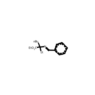 CCCCC(CC)(N=Cc1ccccc1)C(=O)OCC